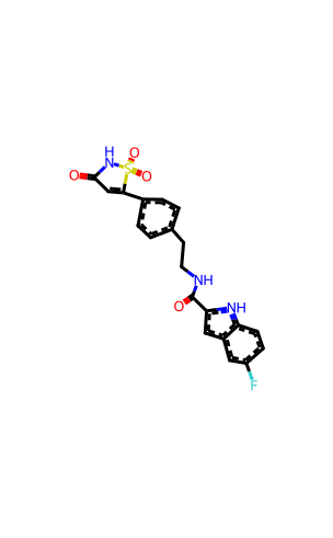 O=C1C=C(c2ccc(CCNC(=O)c3cc4cc(F)ccc4[nH]3)cc2)S(=O)(=O)N1